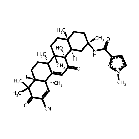 Cn1ccc(C(=O)N[C@@]2(C)CC[C@@]3(C)CC[C@@]4(C)[C@]5(C)CC[C@H]6C(C)(C)C(=O)C(C#N)=C[C@]6(C)C5=CC(=O)[C@]4(O)[C@@H]3C2)n1